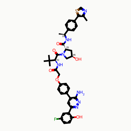 Cc1ncsc1-c1ccc([C@H](C)NC(=O)[C@@H]2C[C@@H](O)CN2C(=O)[C@@H](NC(=O)COc2ccc(-c3cc(-c4cc(F)ccc4O)nnc3N)cc2)C(C)(C)C)cc1